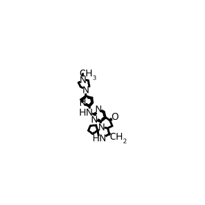 C=C1NCC2(CCCC2)N2c3nc(Nc4ccc(N5CCN(C)CC5)cn4)ncc3C(=O)CC12